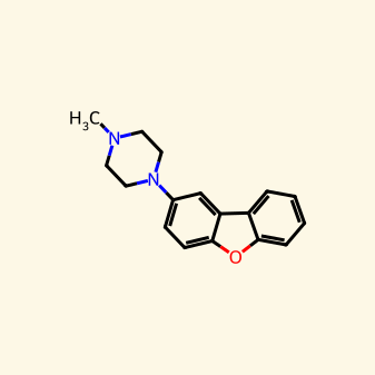 CN1CCN(c2ccc3oc4ccccc4c3c2)CC1